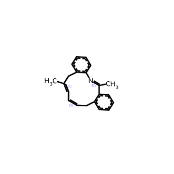 C/C1=C\C=C/Cc2ccccc2/C(C)=N/c2ccccc2C1